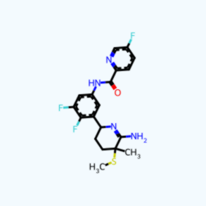 CSC1(C)CCC(c2cc(NC(=O)c3ccc(F)cn3)cc(F)c2F)N=C1N